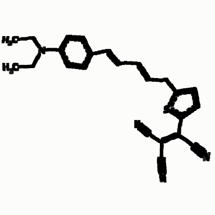 CCN(CC)c1ccc(C=CC=CCc2ccc(C(C#N)=C(C#N)C#N)s2)cc1